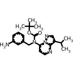 CC(C)c1cnn2c(N(Cc3cccc(N)c3)C(=O)OC(C)(C)C)ccnc12